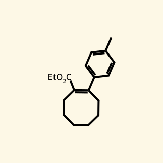 CCOC(=O)C1=C(c2ccc(C)cc2)CCCCCC1